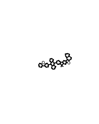 CC1(C)c2cc(-c3c4ccccc4c(-c4ccc5c(c4)oc4ccccc45)c4ccccc34)ccc2-c2cc3c(cc21)oc1ccc2ccccc2c13